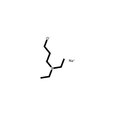 CCB(CC)CCC[O-].[Na+]